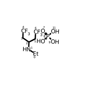 CCNC(CC(F)(F)F)CC(F)(F)F.O=P(O)(O)O